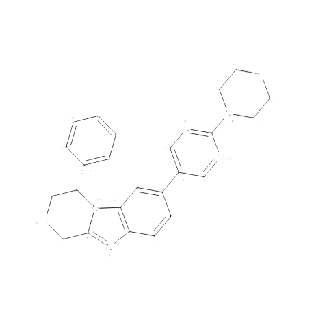 c1ccc([C@H]2COCc3nc4ccc(-c5cnc(N6CCOCC6)nc5)cc4n32)cc1